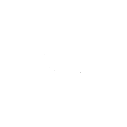 Cc1n[nH]c2c1CCc1[nH]ncc1-2